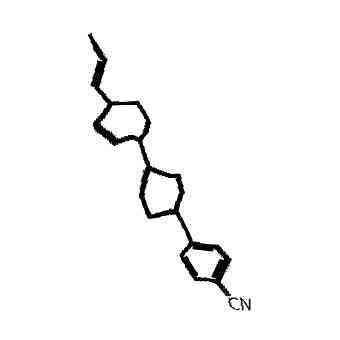 CC=CC1CCC(C2CCC(c3ccc(C#N)cc3)CC2)CC1